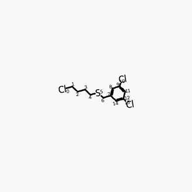 ClCCCCSCc1cc(Cl)cc(Cl)c1